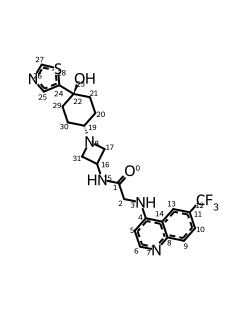 O=C(CNc1ccnc2ccc(C(F)(F)F)cc12)NC1CN([C@H]2CC[C@@](O)(c3cncs3)CC2)C1